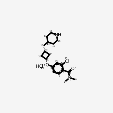 CN(C)C(=O)c1ccc(O[C@H]2C[C@@H](CC3CCNCC3)C2)cc1Cl.Cl